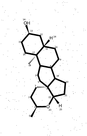 C[C@H]1CC[C@]23CCC4C(CC[C@H]5C[C@H](O)CC[C@]45C)C2CC[C@@H]3O1